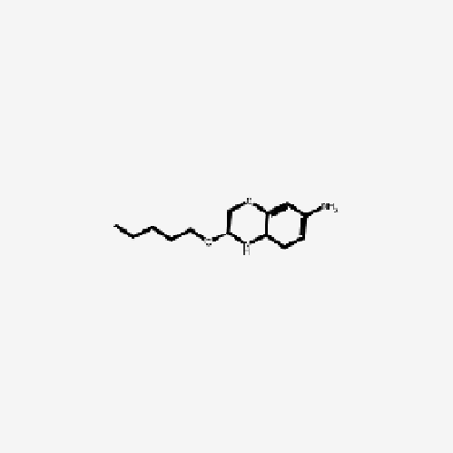 CCCCCO[C@H]1COC2=CC(N)=CCC2N1